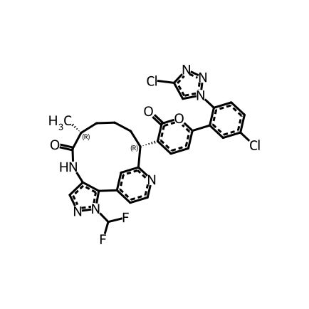 C[C@@H]1CCC[C@H](c2ccc(-c3cc(Cl)ccc3-n3cc(Cl)nn3)oc2=O)c2cc(ccn2)-c2c(cnn2C(F)F)NC1=O